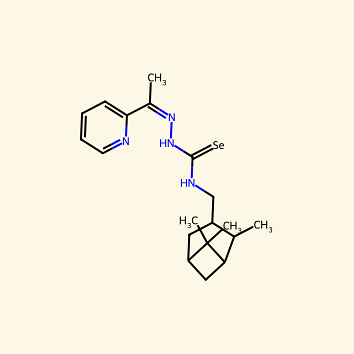 CC(=NNC(=[Se])NCC1CC2CC(C1C)C2(C)C)c1ccccn1